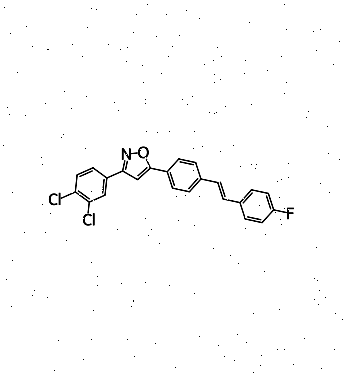 Fc1ccc(C=Cc2ccc(-c3cc(-c4ccc(Cl)c(Cl)c4)no3)cc2)cc1